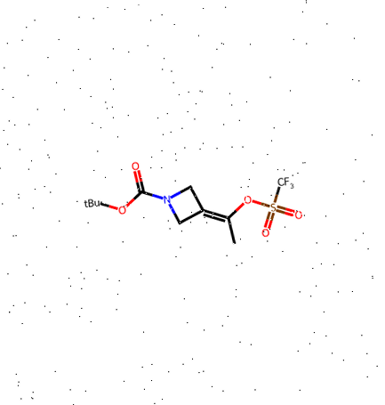 CC(OS(=O)(=O)C(F)(F)F)=C1CN(C(=O)OC(C)(C)C)C1